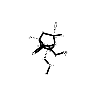 COC[C@]1(CO)C(=O)[C@@]2(C)CCN1[C@H](C)C2